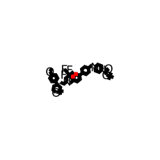 COc1ccc([C@]2(CCN(Cc3ccc(C4=CCC(CN5CCN(C(=O)OC(C)(C)C)CC5)CC4)cc3)CC3(C(F)(F)F)CCC3)CCOC(C)(C)C2)cc1